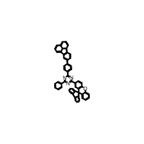 C1=CC2=CC=CC3c4ccc(-c5ccc(-c6nc(-c7ccccc7)nc(-c7ccc8c(c7)C7(c9ccccc9O8)c8ccccc8-c8ccccc87)n6)cc5)cc4C(=C1)C23